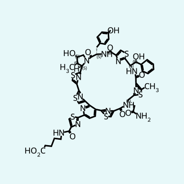 Cc1sc2nc1C(=O)N[C@@H]([C@H](O)c1ccccc1)c1nc(cs1)C(=O)N[C@@H](Cc1ccc(O)cc1)C(=O)N1C[C@H](O)[C@H](C)[C@H]1c1nc(cs1)-c1nc(cs1)-c1nc(-c3nc(C(=O)NCCCCC(=O)O)cs3)ccc1-c1nc(cs1)C(=O)N[C@H]2CC(N)=O